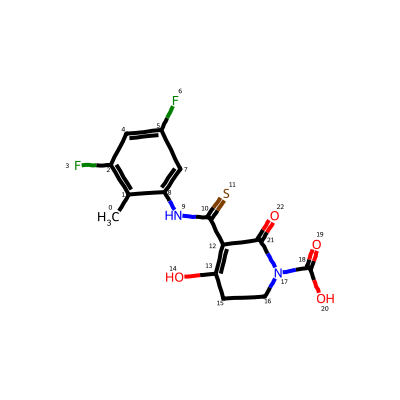 Cc1c(F)cc(F)cc1NC(=S)C1=C(O)CCN(C(=O)O)C1=O